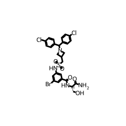 NC(=O)[C@H](CO)NC(=O)c1cc(Br)cc(NS(=O)(=O)CC2CN(C(c3ccc(Cl)cc3)c3ccc(Cl)cc3)C2)c1